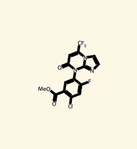 COC(=O)c1cc(-n2c(=O)cc(C(F)(F)F)n3ccnc23)c(F)cc1Cl